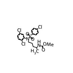 COC(=O)NC(C)CCCN(c1cc(Cl)ccc1Cl)S(=O)(=O)c1ccc(Cl)cc1